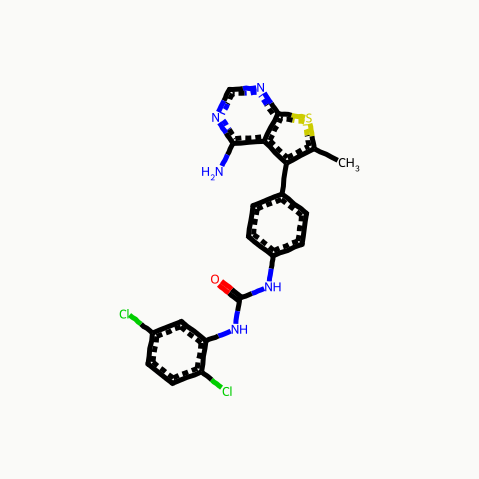 Cc1sc2ncnc(N)c2c1-c1ccc(NC(=O)Nc2cc(Cl)ccc2Cl)cc1